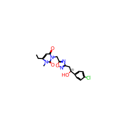 CCc1cc(=O)n(Cc2nc(C[C@H](O)c3ccc(Cl)cc3)no2)c(=O)n1C